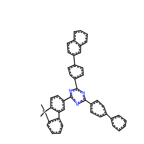 C[Si]1(C)c2ccccc2-c2cc(-c3nc(-c4ccc(-c5ccccc5)cc4)nc(-c4ccc(-c5ccc6ccccc6c5)cc4)n3)ccc21